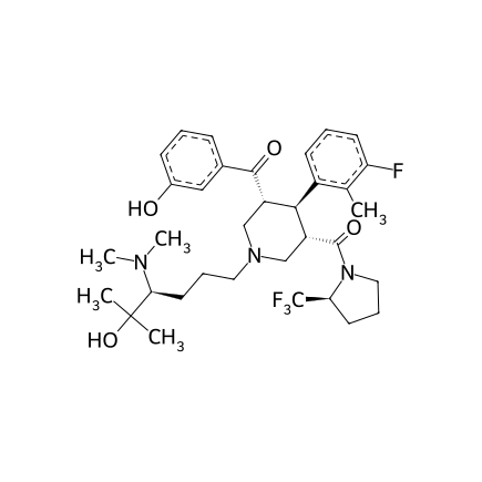 Cc1c(F)cccc1[C@@H]1[C@@H](C(=O)c2cccc(O)c2)CN(CCC[C@H](N(C)C)C(C)(C)O)C[C@H]1C(=O)N1CCC[C@H]1C(F)(F)F